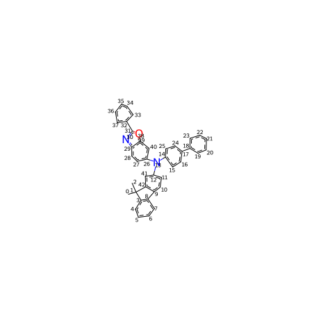 CC1(C)c2ccccc2-c2ccc(N(c3ccc(-c4ccccc4)cc3)c3ccc4nc(-c5ccccc5)oc4c3)cc21